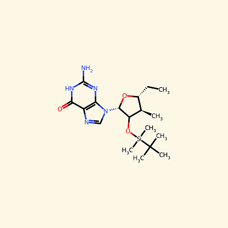 CC[C@H]1O[C@@H](n2cnc3c(=O)[nH]c(N)nc32)C(O[Si](C)(C)C(C)(C)C)[C@@H]1C